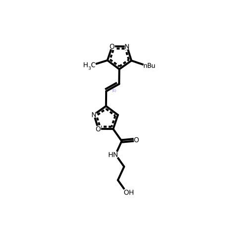 CCCCc1noc(C)c1/C=C/c1cc(C(=O)NCCO)on1